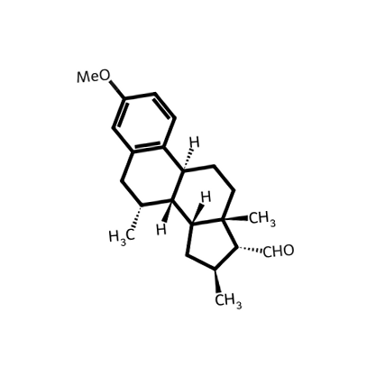 COc1ccc2c(c1)C[C@@H](C)[C@@H]1[C@@H]2CC[C@]2(C)[C@H](C=O)[C@@H](C)C[C@H]12